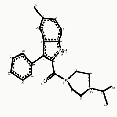 Cc1ccc2[nH]c(C(=O)N3CCN(C(C)C)CC3)c(-c3ccccc3)c2c1